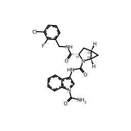 NC(=O)n1cc(NC(=O)N2[C@H](C(=O)NCc3cccc(Cl)c3F)C[C@@H]3C[C@@H]32)c2ccccc21